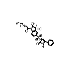 CC(C)CNCC(=O)N1c2ccc(S(=O)(=O)n3cc(-c4ccccc4)[nH]c3=O)cc2CC1C.Cl